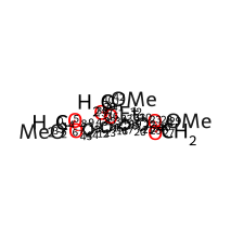 C=C(COC)C(=O)Oc1ccc(-c2ccc(-c3ccc(-c4ccc(OC(=O)C(=C)COC)cc4CC)cc3)c(OC(=O)C(=C)COC)c2)cc1